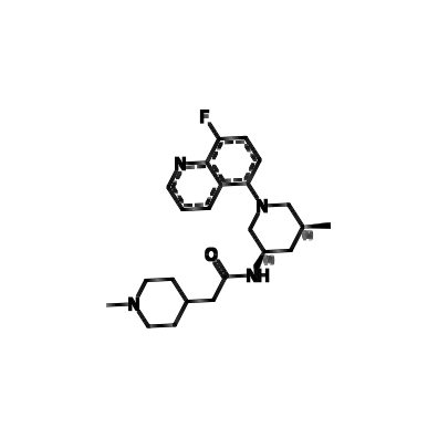 C[C@H]1C[C@@H](NC(=O)CC2CCN(C)CC2)CN(c2ccc(F)c3ncccc23)C1